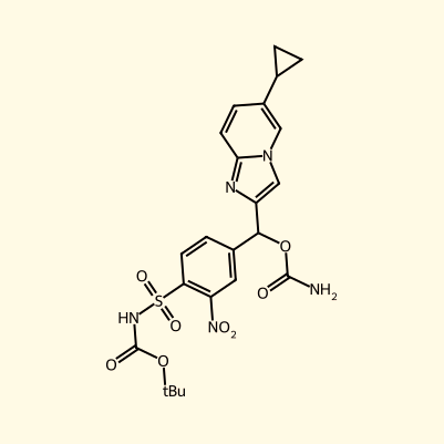 CC(C)(C)OC(=O)NS(=O)(=O)c1ccc(C(OC(N)=O)c2cn3cc(C4CC4)ccc3n2)cc1[N+](=O)[O-]